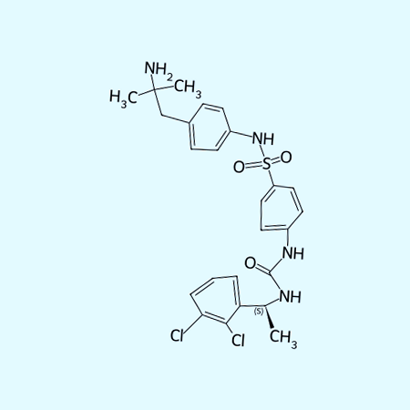 C[C@H](NC(=O)Nc1ccc(S(=O)(=O)Nc2ccc(CC(C)(C)N)cc2)cc1)c1cccc(Cl)c1Cl